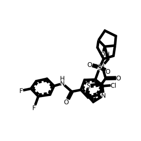 O=C(Nc1ccc(F)c(F)c1)c1ccc(Cl)c(S(=O)(=O)C2CC3CCC(C2)C3(O)CNC(=O)c2nccs2)c1